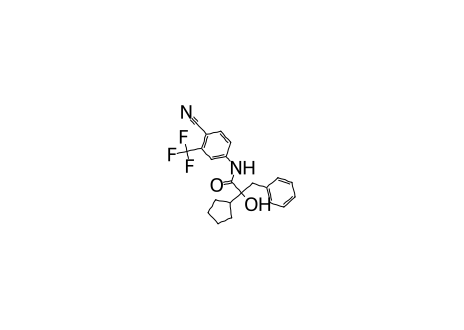 N#Cc1ccc(NC(=O)C(O)(Cc2ccccc2)C2CCCC2)cc1C(F)(F)F